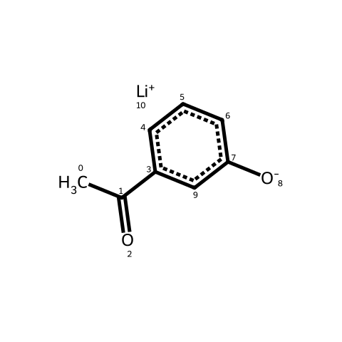 CC(=O)c1cccc([O-])c1.[Li+]